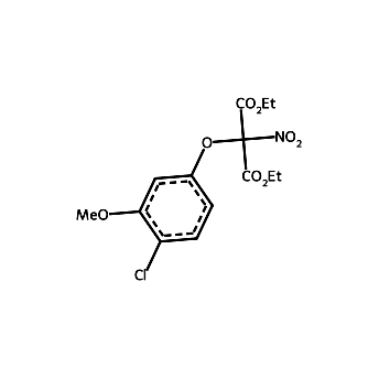 CCOC(=O)C(Oc1ccc(Cl)c(OC)c1)(C(=O)OCC)[N+](=O)[O-]